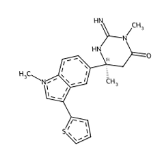 CN1C(=N)N[C@](C)(c2ccc3c(c2)c(-c2cccs2)cn3C)CC1=O